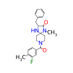 Cc1ccc(C(=O)N2CCC3(CC2)NC(Cc2ccccc2)C(=O)N3C)cc1F